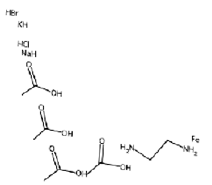 Br.CC(=O)O.CC(=O)O.CC(=O)O.CC(=O)O.Cl.NCCN.[Fe].[KH].[NaH]